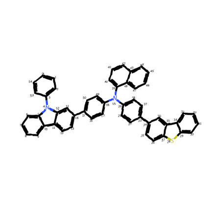 c1ccc(-n2c3ccccc3c3ccc(-c4ccc(N(c5ccc(-c6ccc7sc8ccccc8c7c6)cc5)c5cccc6ccccc56)cc4)cc32)cc1